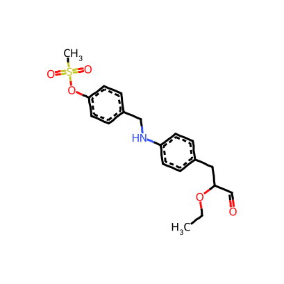 CCOC(C=O)Cc1ccc(NCc2ccc(OS(C)(=O)=O)cc2)cc1